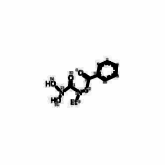 CCN(SC(=O)c1ccccc1)C(=O)N(O)O